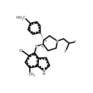 Cc1cc(Cl)c(O[C@@H]2CCN(CC(F)F)C[C@H]2c2ccc(C(=O)O)cc2)c2cc[nH]c12